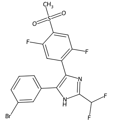 CS(=O)(=O)c1cc(F)c(-c2nc(C(F)F)[nH]c2-c2cccc(Br)c2)cc1F